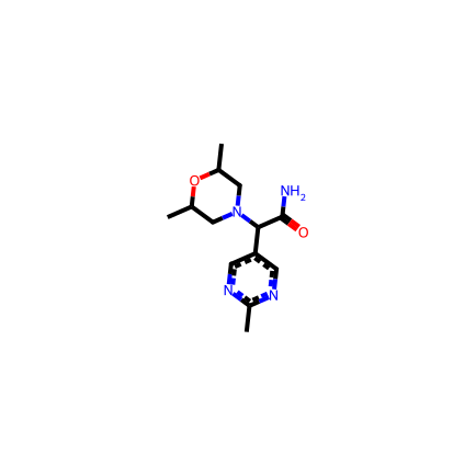 Cc1ncc(C(C(N)=O)N2CC(C)OC(C)C2)cn1